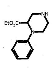 CCOC(=O)C1CNCCN1c1ccccc1